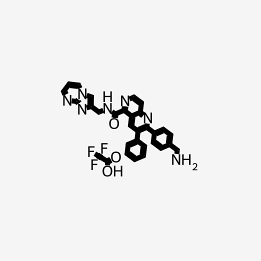 NCc1ccc(-c2nc3ccnc(C(=O)NCc4cn5cccnc5n4)c3cc2-c2ccccc2)cc1.O=C(O)C(F)(F)F